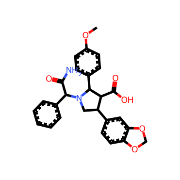 COc1ccc(C2C(C(=O)O)C(c3ccc4c(c3)OCO4)CN2C(C(N)=O)c2ccccc2)cc1